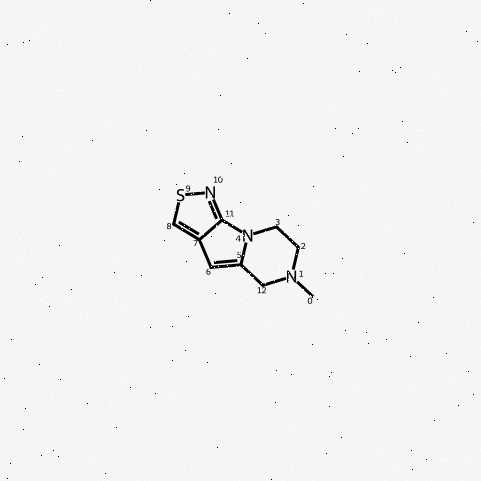 CN1CCn2c(cc3csnc32)C1